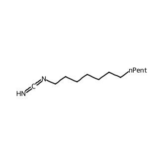 CCCCCCCCCCCCN=C=N